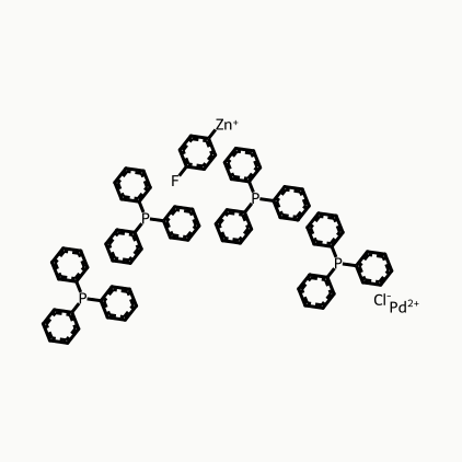 Fc1cc[c]([Zn+])cc1.[Cl-].[Pd+2].c1ccc(P(c2ccccc2)c2ccccc2)cc1.c1ccc(P(c2ccccc2)c2ccccc2)cc1.c1ccc(P(c2ccccc2)c2ccccc2)cc1.c1ccc(P(c2ccccc2)c2ccccc2)cc1